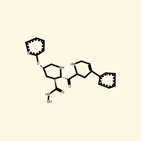 O=C(NO)[C@H]1C[C@H](Oc2ccccn2)CN[C@@H]1C(=O)C1CC(c2ccccc2)=CCN1